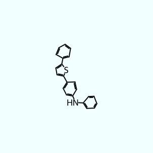 c1ccc(Nc2ccc(-c3ccc(-c4ccccc4)s3)cc2)cc1